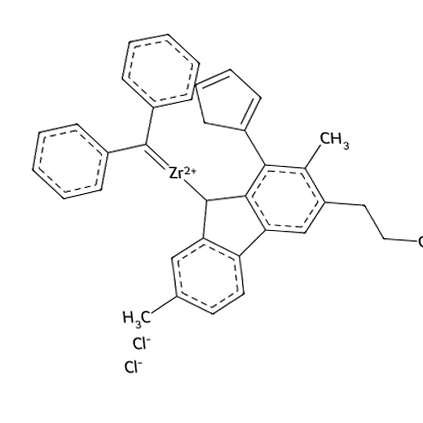 CCCc1cc2c(c(C3=CC=CC3)c1C)[CH]([Zr+2]=[C](c1ccccc1)c1ccccc1)c1cc(C)ccc1-2.[Cl-].[Cl-]